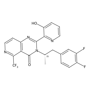 C[C@@H](Cc1ccc(F)c(F)c1)n1c(-c2ncccc2O)nc2ccnc(C(F)(F)F)c2c1=O